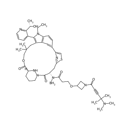 BN(C(=O)CCOC1CN(C(=O)C#CC(C)(C)N(C)C)C1)[C@H]1Cc2nc(cs2)-c2ccc3c(c2)c(c(-c2cccnc2[C@H](C)O)n3CC)CC(C)(C)COC(=O)[C@@H]2CCCN(N2)C1=O